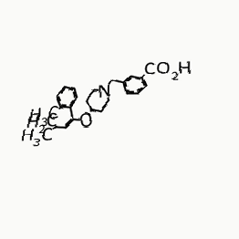 C=C(C)/C=C(/OC1CCN(Cc2cccc(C(=O)O)c2)CC1)c1ccccc1C